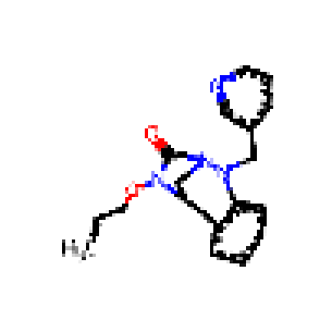 C=CCON1C(=O)N2CC1c1ccccc1N2Cc1cccnc1